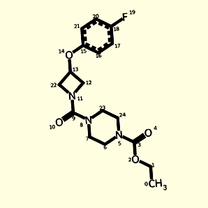 CCOC(=O)N1CCN(C(=O)N2CC(Oc3ccc(F)cc3)C2)CC1